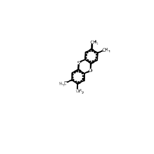 Cc1cc2c(cc1C)Sc1cc(C)c(C)cc1O2